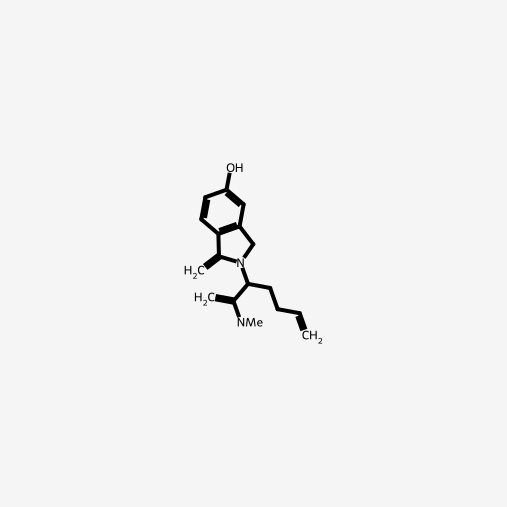 C=CCCC(C(=C)NC)N1Cc2cc(O)ccc2C1=C